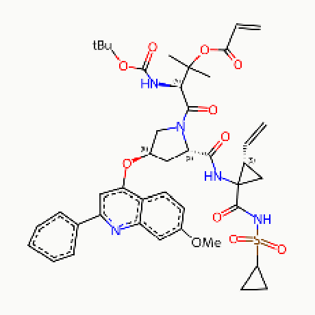 C=CC(=O)OC(C)(C)[C@H](NC(=O)OC(C)(C)C)C(=O)N1C[C@H](Oc2cc(-c3ccccc3)nc3cc(OC)ccc23)C[C@H]1C(=O)NC1(C(=O)NS(=O)(=O)C2CC2)C[C@H]1C=C